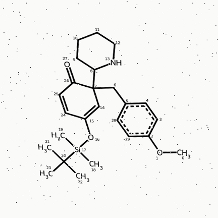 COc1ccc(CC2(C3CCCCN3)C=C(O[Si](C)(C)C(C)(C)C)C=CC2=O)cc1